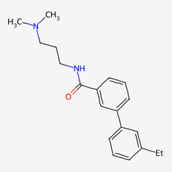 CCc1cccc(-c2cccc(C(=O)NCCCN(C)C)c2)c1